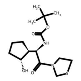 CC(C)(C)OC(=O)N[C@@H](C(=O)N1CCSC1)[C@@H]1CCC[C@H]1O